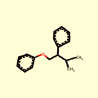 CC(C)C(COc1cc[c]cc1)c1ccccc1